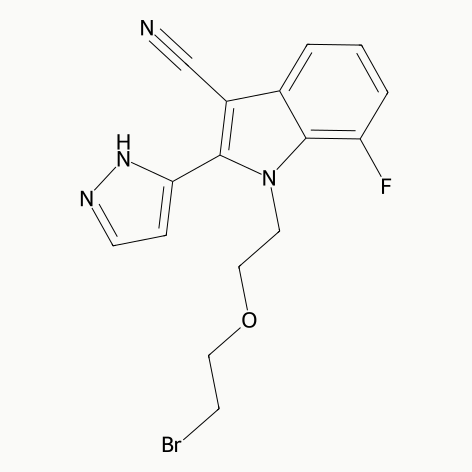 N#Cc1c(-c2ccn[nH]2)n(CCOCCBr)c2c(F)cccc12